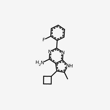 Cc1[nH]c2nc(-c3ccccc3F)nc(N)c2c1C1CCC1